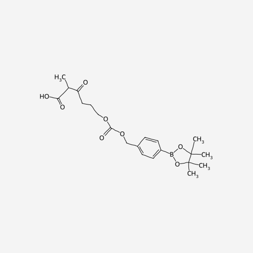 CC(C(=O)O)C(=O)CCCOC(=O)OCc1ccc(B2OC(C)(C)C(C)(C)O2)cc1